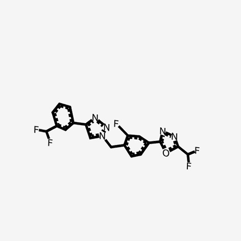 Fc1cc(-c2nnc(C(F)F)o2)ccc1Cn1cc(-c2cccc(C(F)F)c2)nn1